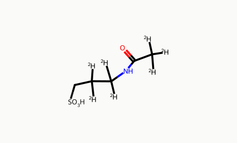 [2H]C([2H])([2H])C(=O)NC([2H])([2H])C([2H])([2H])CS(=O)(=O)O